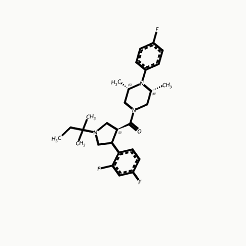 CCC(C)(C)N1CC(c2ccc(F)cc2F)[C@H](C(=O)N2C[C@@H](C)N(c3ccc(F)cc3)[C@@H](C)C2)C1